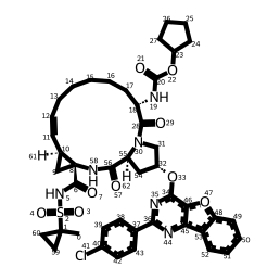 CC1(S(=O)(=O)NC(=O)[C@@]23C[C@H]2/C=C\CCCCC[C@H](NC(=O)OC2CCCC2)C(=O)N2C[C@H](Oc4nc(-c5ccc(Cl)cc5)nc5c4oc4ccccc45)C[C@H]2C(=O)N3)CC1